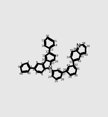 c1ccc(-c2ccc3c(c2)c2cc(-c4ccccc4)ccc2n3-c2cccc(-c3cccc(-c4ccc5ncccc5c4)c3)c2)cc1